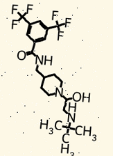 CC(C)(C)NCC(O)N1CCC(CNC(=O)c2cc(C(F)(F)F)cc(C(F)(F)F)c2)CC1